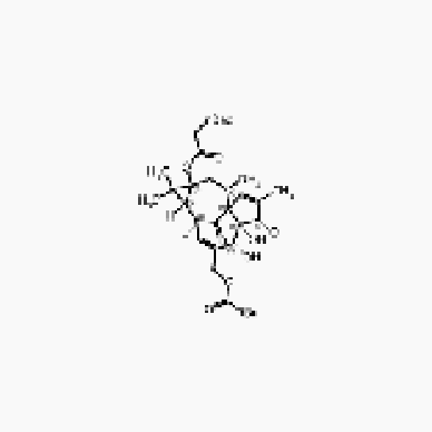 CCCCCCCCCCCC(=O)O[C@@]12C[C@@H](N)[C@]34C=C(C)[C@H](O)[C@@]3(O)[C@H](O)C(COC(=O)C(C)(C)C)=C[C@H](C4=O)[C@@H]1C2(C)C